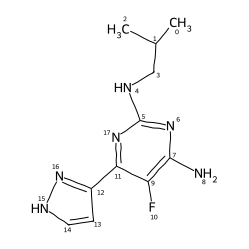 CC(C)CNc1nc(N)c(F)c(-c2cc[nH]n2)n1